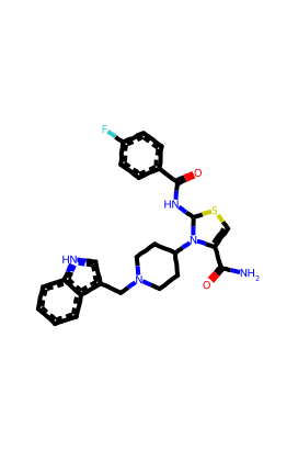 NC(=O)C1=CSC(NC(=O)c2ccc(F)cc2)N1C1CCN(Cc2c[nH]c3ccccc23)CC1